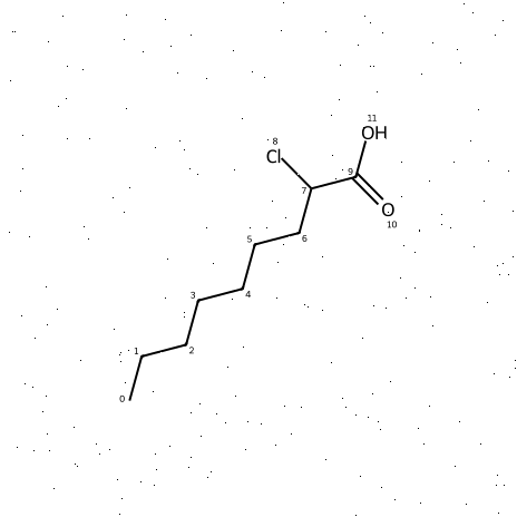 CCCCCCCC(Cl)C(=O)O